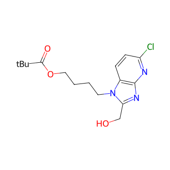 CC(C)(C)C(=O)OCCCCn1c(CO)nc2nc(Cl)ccc21